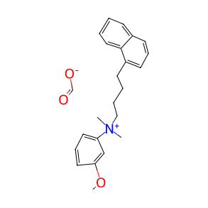 COc1cccc([N+](C)(C)CCCCc2cccc3ccccc23)c1.O=C[O-]